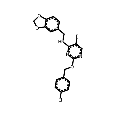 Fc1cnc(OCc2ccc(Cl)cc2)nc1NCc1ccc2c(c1)OCO2